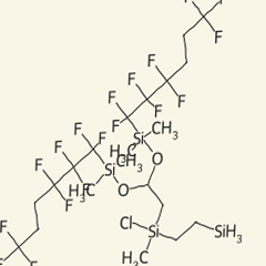 C[Si](Cl)(CC[SiH3])CC(O[Si](C)(C)C(F)(F)C(F)(F)C(F)(F)CCC(F)(F)F)O[Si](C)(C)C(F)(F)C(F)(F)C(F)(F)CCC(F)(F)F